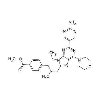 CCn1c(CN(C)Cc2ccc(C(=O)OC)cc2)nc2c(N3CCOCC3)nc(-c3cnc(N)nc3)nc21